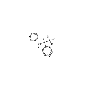 COC(Cc1ccccc1)(c1ccccc1)C(F)(F)F